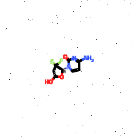 Nc1ccn([C@@H]2OC(O)CC2(F)F)c(=O)n1